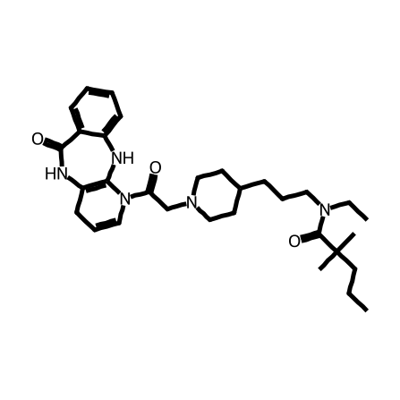 CCCC(C)(C)C(=O)N(CC)CCCC1CCN(CC(=O)N2C=CCC3=C2Nc2ccccc2C(=O)N3)CC1